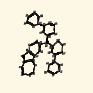 C1=CCc2c(sc3ccc(N(C4=CC(c5ccccc5)=CCC4)c4cccc(-c5ccccc5)c4)cc23)C=C1